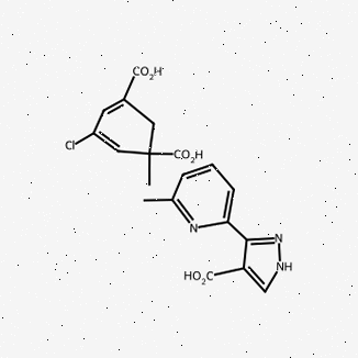 CC1(C(=O)O)C=C(Cl)C=C(C(=O)O)C1.Cc1cccc(-c2n[nH]cc2C(=O)O)n1